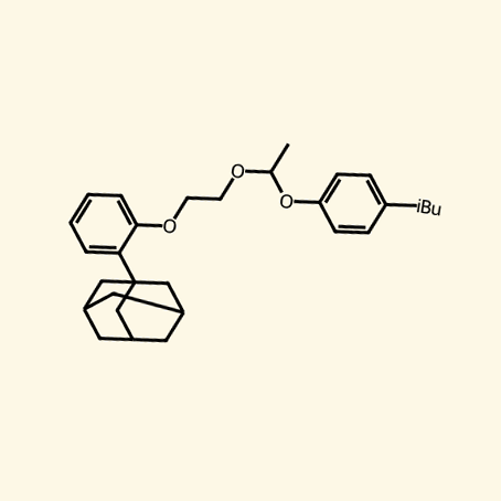 CCC(C)c1ccc(OC(C)OCCOc2ccccc2C23CC4CC(CC(C4)C2)C3)cc1